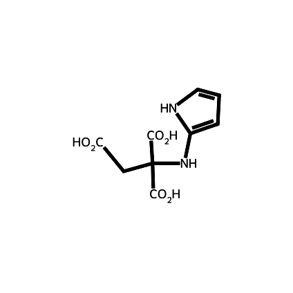 O=C(O)CC(Nc1ccc[nH]1)(C(=O)O)C(=O)O